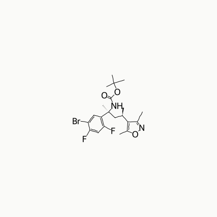 Cc1noc(C)c1[C@H](C)C[C@](C)(NC(=O)OC(C)(C)C)c1cc(Br)c(F)cc1F